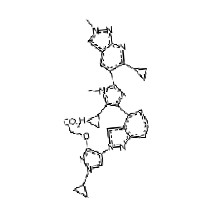 Cn1cc2cc(-c3nc(-c4cccc5nn(-c6cn(C7CC7)nc6OCC(=O)O)cc45)c(C4CC4)n3C)c(C3CC3)nc2n1